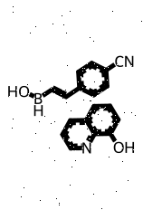 N#Cc1ccc(C=CBO)cc1.Oc1cccc2cccnc12